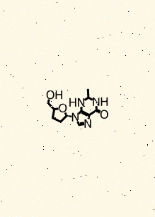 CC1NC(=O)c2ncn([C@H]3CCC(CO)O3)c2N1